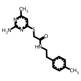 Cc1ccc(CCNC(=O)CSc2cc(C)nc(N)n2)cc1